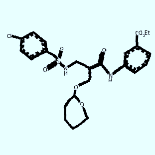 CCOC(=O)c1cccc(NC(=O)C(CNS(=O)(=O)c2ccc(Cl)cc2)COC2CCCCO2)c1